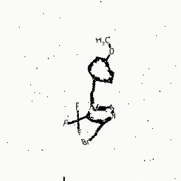 COc1ccc(Cn2nnc(CBr)c2C(F)(F)F)cc1